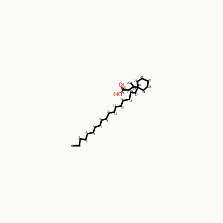 CCCCCCCCCCCCCCCCCCC1(C(C)CC(=O)O)CCCCC1